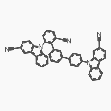 N#Cc1ccc2c(c1)c1ccccc1n2-c1cccc(C#N)c1-c1cccc(-c2ccc(-n3c4ccccc4c4ccc(C#N)cc43)cc2)c1